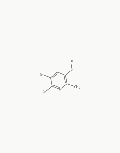 Cc1nc(Br)c(Br)cc1CO